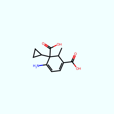 CC1C(C(=O)O)=CC=C(N)C1(C(=O)O)C1CC1